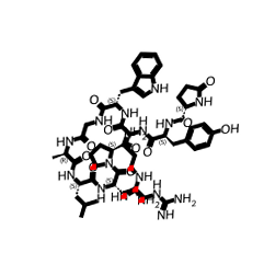 CC(C)C[C@H](NC(=O)[C@@H](C)NC(=O)CNC(=O)[C@H](Cc1c[nH]c2ccccc12)NC(=O)[C@H](CCCNC(=N)N)NC(=O)[C@H](Cc1ccc(O)cc1)NC(=O)[C@@H]1CCC(=O)N1)C(=O)N[C@@H](CCCNC(=N)N)C(=O)N1CCC[C@H]1C(N)=O